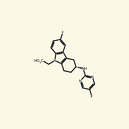 O=C(O)Cn1c2c(c3cc(F)ccc31)C[C@@H](Nc1ncc(F)cn1)CC2